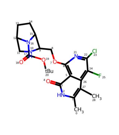 Cc1[nH]c(=O)c2c(OCC3NCC4CCC3N4C(=O)OC(C)(C)C)nc(Cl)c(F)c2c1C